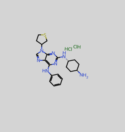 Cl.Cl.N[C@H]1CC[C@H](Nc2nc(Nc3ccccc3)c3ncn(C4CCSC4)c3n2)CC1